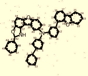 c1ccc(-c2ccc(N(c3cccc(-c4cccc5c4oc4ccccc45)c3)c3ccc4oc5ccc6c(c5c4c3)NC(c3ccccc3)O6)cc2)cc1